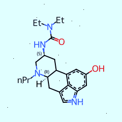 CCCN1C[C@@H](NC(=O)N(CC)CC)CC2c3cc(O)cc4[nH]cc(c34)C[C@H]21